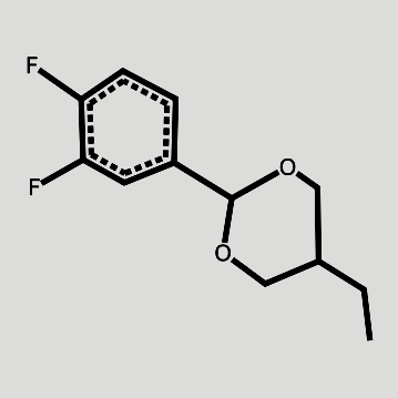 CCC1COC(c2ccc(F)c(F)c2)OC1